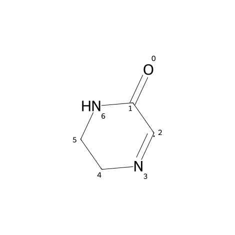 O=C1[C]=NCCN1